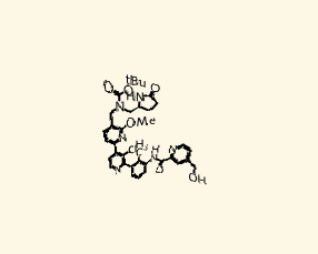 COc1nc(-c2ccnc(-c3cccc(NC(=O)c4cc(CO)ccn4)c3C)c2Cl)ccc1CN(C[C@@H]1CCC(=O)N1)C(=O)OC(C)(C)C